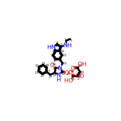 CCNc1c[nH]c2ccc(CN3C(=O)NC(Cc4ccccc4)C3=O)cc12.O.O=C(O)/C=C\C(=O)O